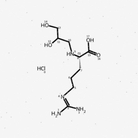 Cl.NC(N)=NCCC[C@H](NCC(O)CO)C(=O)O